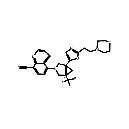 N#Cc1ccc(N2C[C@]3(c4nnc(CCN5CCOCC5)o4)C[C@]3(C(F)(F)F)C2)c2cccnc12